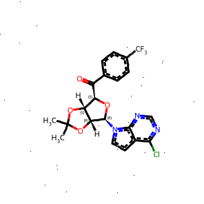 CC1(C)O[C@@H]2[C@H](O1)[C@@H](C(=O)c1ccc(C(F)(F)F)cc1)O[C@H]2n1ccc2c(Cl)ncnc21